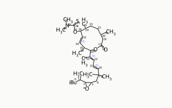 CCC(C)C(C)C1OC1CC(C)(C)/C=C/C=C(\C)C1OC(=O)CC(C)CCC(C)C(OC(=S)N(C)C)/C=C/C1C